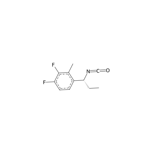 CC[C@@H](N=C=O)c1ccc(F)c(F)c1C